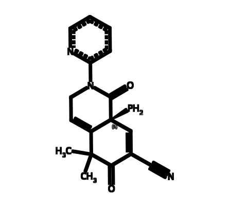 CC1(C)C(=O)C(C#N)=C[C@@]2(P)C(=O)N(c3ccccn3)CC=C12